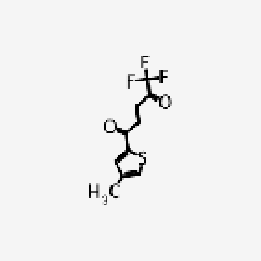 Cc1csc(C(=O)CCC(=O)C(F)(F)F)c1